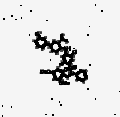 COc1ccc(CN(c2ccncn2)S(=O)(=O)c2cc(Cl)c(N[C@H]3CCC(c4cccc(Cl)c4)C[C@@H]3N(C)C)cc2F)c(OC)c1